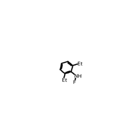 CCc1cccc(CC)c1NF